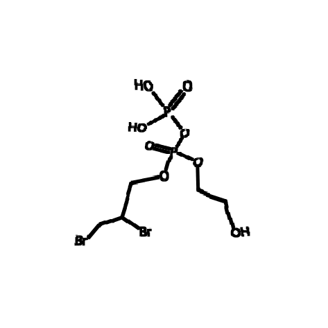 O=P(O)(O)OP(=O)(OCCO)OCC(Br)CBr